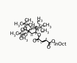 CCCCCCCCOC(=O)C=CC(=O)OC(CC([SiH3])(O[Si](C)(C)C)O[Si](C)(C)C)O[Si](C)(C)C